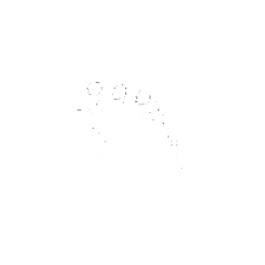 CCCCCCOCCCCC1Oc2ccc(-c3ncc(-c4ccccc4O[SiH2]CCC(C)CC(C)CCCC)cn3)nc2C1(F)F